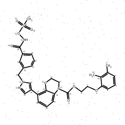 Cc1cccc(OCCOC(=O)N2CCOc3c(-c4cnn(Cc5cccc(C(=O)NOS(C)(=O)=O)c5)c4)cccc32)c1C